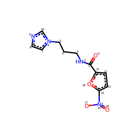 O=C(NCCCn1ccnc1)c1ccc([N+](=O)[O-])o1